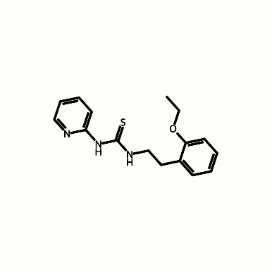 CCOc1ccccc1CCNC(=S)Nc1ccccn1